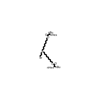 CCCCCCC(CCCC)C(=O)OCCCCCCCCCN(CCCBr)CCCCCCCCCOC(=O)C(CCCC)CCCCCC